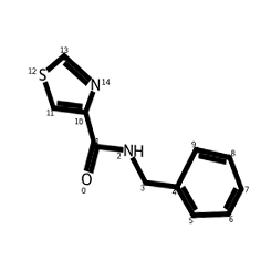 O=C(NCc1ccccc1)c1cs[c]n1